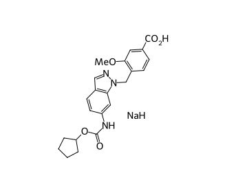 COc1cc(C(=O)O)ccc1Cn1ncc2ccc(NC(=O)OC3CCCC3)cc21.[NaH]